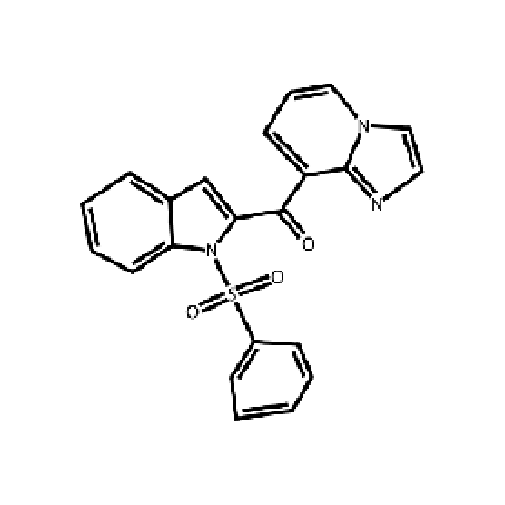 O=C(c1cccn2ccnc12)c1cc2ccccc2n1S(=O)(=O)c1ccccc1